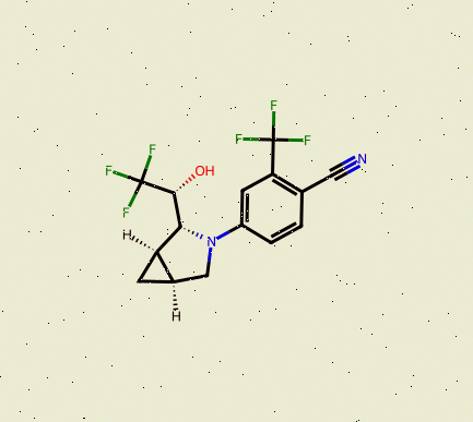 N#Cc1ccc(N2C[C@H]3C[C@H]3[C@@H]2[C@@H](O)C(F)(F)F)cc1C(F)(F)F